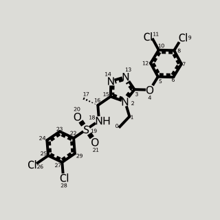 CCn1c(Oc2ccc(Cl)c(Cl)c2)nnc1[C@@H](C)NS(=O)(=O)c1ccc(Cl)c(Cl)c1